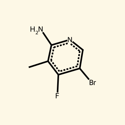 Cc1c(N)ncc(Br)c1F